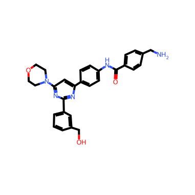 NCc1ccc(C(=O)Nc2ccc(-c3cc(N4CCOCC4)nc(-c4cccc(CO)c4)n3)cc2)cc1